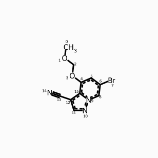 COCOc1cc(Br)cn2ncc(C#N)c12